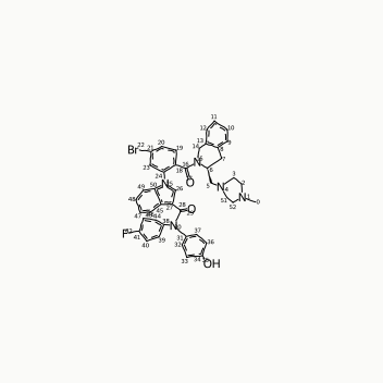 CN1CCN(C[C@@H]2Cc3ccccc3CN2C(=O)c2ccc(Br)cc2-n2cc(C(=O)N(c3ccc(O)cc3)c3ccc(F)cc3)c3ccccc32)CC1